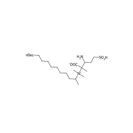 CCCCCCCCCCCCCCCCCCC(C)[N+](C)(C)C(C)(C(=O)[O-])C(N)CCS(=O)(=O)O